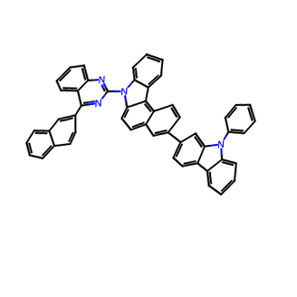 c1ccc(-n2c3ccccc3c3ccc(-c4ccc5c(ccc6c5c5ccccc5n6-c5nc(-c6ccc7ccccc7c6)c6ccccc6n5)c4)cc32)cc1